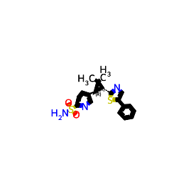 CC1(C)[C@H](c2ccc(S(N)(=O)=O)nc2)[C@H]1c1ncc(-c2ccccc2)s1